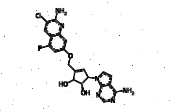 Nc1nc2cc(OCC3=CC(n4ccc5c(N)ncnc54)[C@@H](O)C3O)cc(F)c2cc1Cl